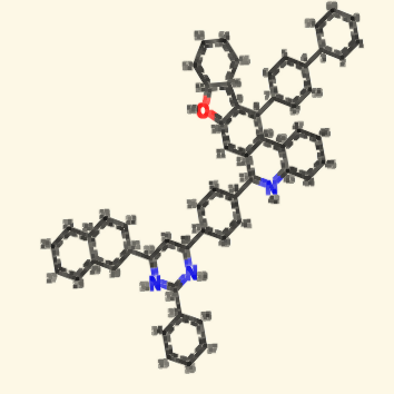 c1ccc(-c2ccc(-c3c4c(cc5c(-c6ccc(-c7cc(-c8ccc9ccccc9c8)nc(-c8ccccc8)n7)cc6)nc6ccccc6c35)oc3ccccc34)cc2)cc1